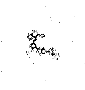 COc1ncc(-c2cc(CN3CCC3)c3c(N)ncnn23)cc1C(=O)N[C@@H]1CN(C(=O)OC(C)(C)C)C[C@@H]1F